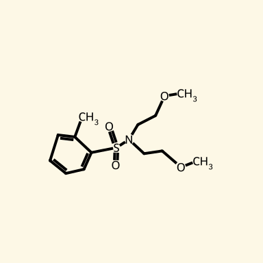 COCCN(CCOC)S(=O)(=O)c1ccccc1C